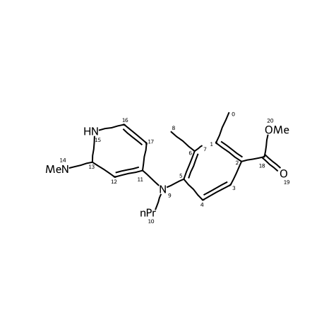 C/C=C(/C=C\C(=C(C)C)N(CCC)C1=CC(NC)NC=C1)C(=O)OC